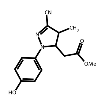 COC(=O)CC1C(C)C(C#N)=NN1c1ccc(O)cc1